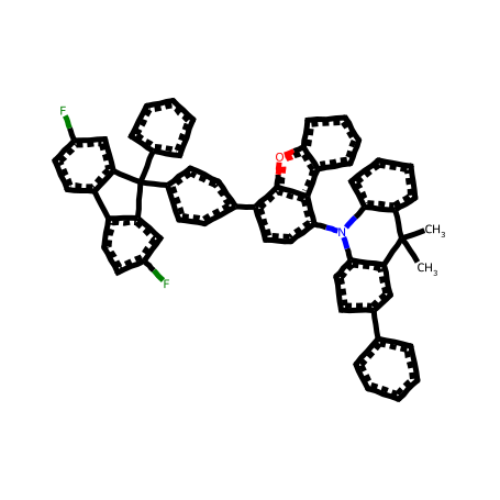 CC1(C)c2ccccc2N(c2ccc(-c3ccc(C4(c5ccccc5)c5cc(F)ccc5-c5ccc(F)cc54)cc3)c3oc4ccccc4c23)c2ccc(-c3ccccc3)cc21